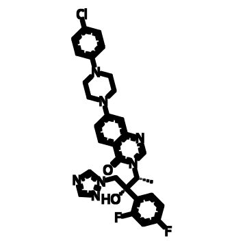 C[C@@H](n1cnc2cc(N3CCN(c4ccc(Cl)cc4)CC3)ccc2c1=O)[C@](O)(Cn1cncn1)c1ccc(F)cc1F